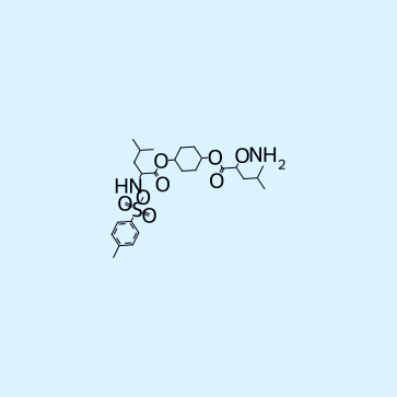 Cc1ccc(S(=O)(=O)ONC(CC(C)C)C(=O)OC2CCC(OC(=O)C(CC(C)C)ON)CC2)cc1